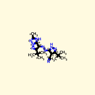 Cc1nn2nc(C(C)(C)C)c(/N=N/c3[nH]nc(C(C)(C)C)c3C#N)c2[nH]1